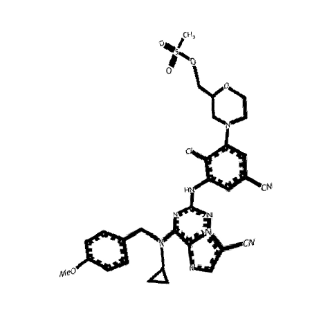 COc1ccc(CN(c2nc(Nc3cc(C#N)cc(N4CCOC(COS(C)(=O)=O)C4)c3Cl)nn3c(C#N)cnc23)C2CC2)cc1